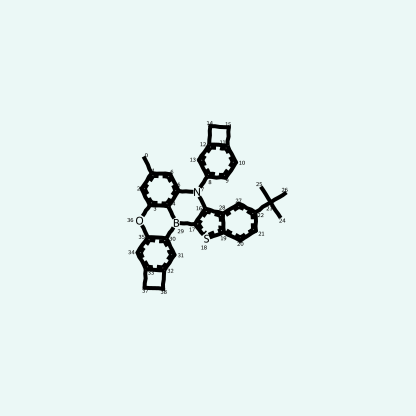 Cc1cc2c3c(c1)N(c1ccc4c(c1)CC4)c1c(sc4ccc(C(C)(C)C)cc14)B3c1cc3c(cc1O2)CC3